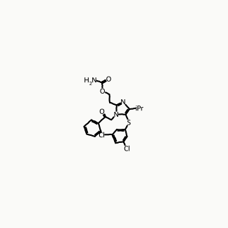 CC(C)c1nc(CCOC(N)=O)n(CC(=O)c2ccccc2)c1Sc1cc(Cl)cc(Cl)c1